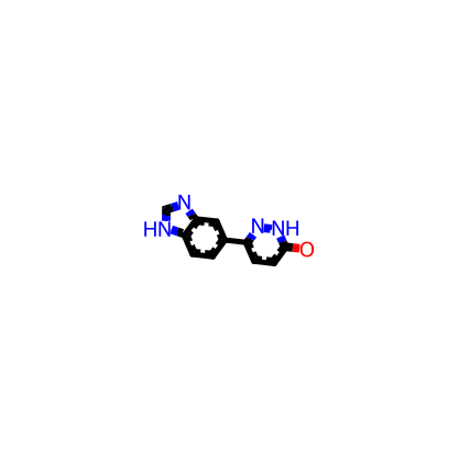 O=c1ccc(-c2ccc3[nH]cnc3c2)n[nH]1